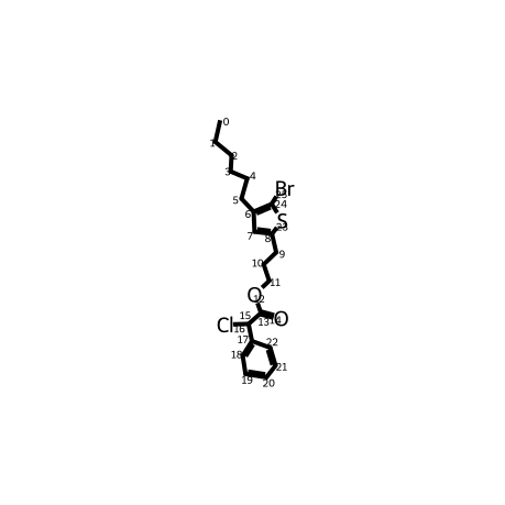 CCCCCCc1cc(CCCOC(=O)C(Cl)c2ccccc2)sc1Br